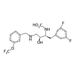 O=C(O)N[C@@H](Cc1cc(F)cc(F)c1)[C@@H](O)CNCc1cccc(OC(F)(F)F)c1